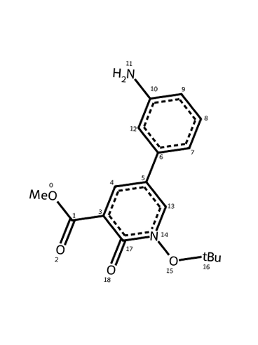 COC(=O)c1cc(-c2cccc(N)c2)cn(OC(C)(C)C)c1=O